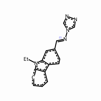 CCn1c2ccccc2c2ccc(/C=N/n3cnnc3)cc21